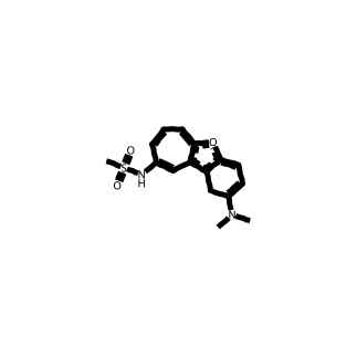 CN(C)C1=CC=c2oc3c(c2C1)C=C(NS(C)(=O)=O)C=CC=3